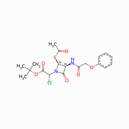 CC(=O)S[C@H]1[C@@H](NC(=O)COc2ccccc2)C(=O)N1C(Cl)C(=O)OC(C)(C)C